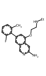 CCNCCOc1cc(-c2c(C)cccc2F)cc2cnc(N)cc12